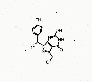 Cc1ccc(C(C)n2nc(CCl)c3c(=O)[nH]c(O)nc32)cc1